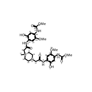 COC(=O)Nc1cc(O)c(NC(=O)CN2CC[N+](C)(CC(=O)Nc3cc(OC)c(NC(=O)OC)cc3O)CC2)cc1OC